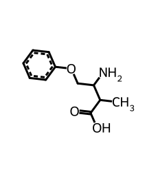 CC(C(=O)O)C(N)COc1ccccc1